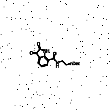 CCCCCCCCCCCCNC(=O)c1cccc2c1NC(=O)C2=O